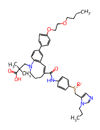 CCCCOCCOc1ccc(-c2ccc3c(c2)/C=C(/C(=O)Nc2ccc([S@@+]([O-])Cc4cncn4CCC)cc2)CCCN3CC(C)(C)C(=O)O)cc1